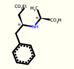 CCOC(=O)C[C@H](Cc1ccccc1)N[C@@H](C)C(=O)O